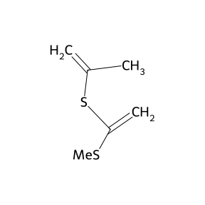 C=C(C)SC(=C)SC